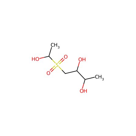 CC(O)C(O)CS(=O)(=O)C(C)O